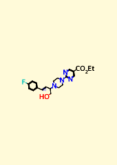 CCOC(=O)c1cnc(N2CCN(C(/C=C/c3ccc(F)cc3)CO)CC2)nc1